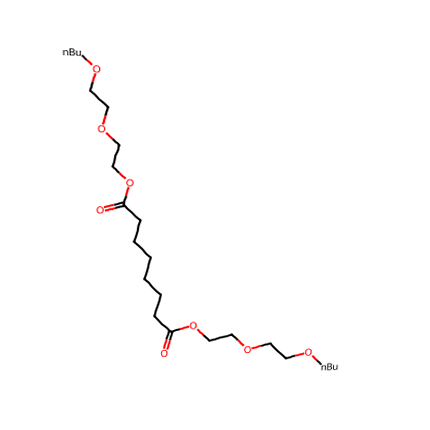 CCCCOCCOCCOC(=O)CCCCCCC(=O)OCCOCCOCCCC